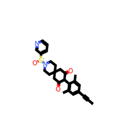 CC#Cc1cc(C)c(C2C(=O)CC3(CCN([S+]([O-])c4cccnc4)CC3)CC2=O)c(C)c1